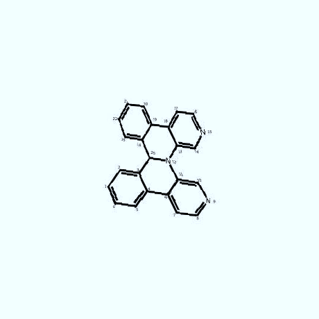 c1ccc2c(c1)-c1ccncc1N1c3cnccc3-c3ccccc3C21